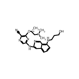 C[C@H](CN(C)C)Oc1nc(Nc2cc3cccc(NCCCO)c3cn2)cnc1C#N